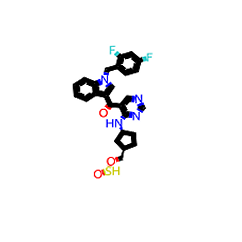 O=[SH]OC[C@@H]1CC[C@H](Nc2ncncc2C(=O)c2cn(Cc3ccc(F)cc3F)c3ccccc23)C1